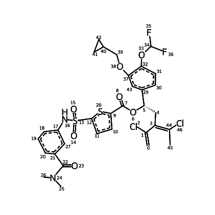 C=C(Cl)/C(C[C@H](OC(=O)c1ccc(S(=O)(=O)Nc2cccc(C(=O)N(C)C)c2)s1)c1ccc(OC(F)F)c(OCC2CC2)c1)=C(\C)Cl